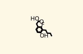 CCCCc1c(O)ccc(CC(=O)O)c1F